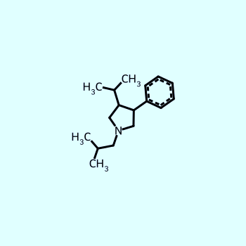 CC(C)CN1CC(c2ccccc2)C(C(C)C)C1